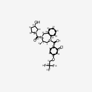 C[C@@H]1CN(C(=O)c2ccc(OCC(F)(F)F)cc2Cl)c2ccccc2CN1C(=O)N1CC[C@@H](O)C1